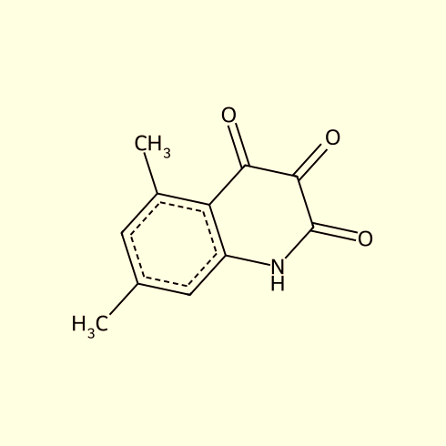 Cc1cc(C)c2c(c1)NC(=O)C(=O)C2=O